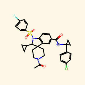 CC(=O)N1CCC2(CC1)c1cc(C(=O)NC3(c4ccc(Cl)cc4)CC3)ccc1N(S(=O)(=O)c1ccc(F)cc1)C2C1CC1